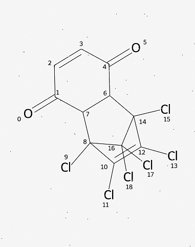 O=C1C=CC(=O)C2C1C1(Cl)C(Cl)=C(Cl)C2(Cl)C1(Cl)Cl